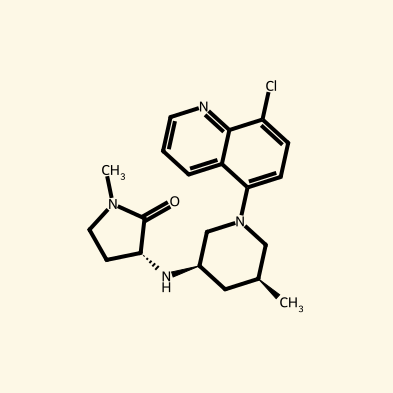 C[C@H]1C[C@@H](N[C@@H]2CCN(C)C2=O)CN(c2ccc(Cl)c3ncccc23)C1